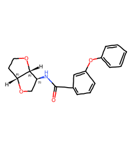 O=C(N[C@H]1CO[C@@H]2CCO[C@H]12)c1cccc(Oc2ccccc2)c1